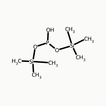 C[Si](C)(C)OP(O)O[Si](C)(C)C